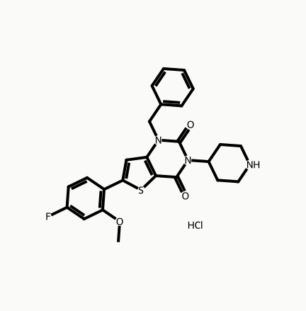 COc1cc(F)ccc1-c1cc2c(s1)c(=O)n(C1CCNCC1)c(=O)n2Cc1ccccc1.Cl